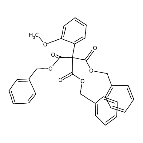 COc1ccccc1C(C(=O)OCc1ccccc1)(C(=O)OCc1ccccc1)C(=O)OCc1ccccc1